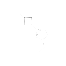 NCc1csc(C2CC(=O)C2)c1